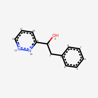 OC(Cc1ccccc1)c1cccnn1